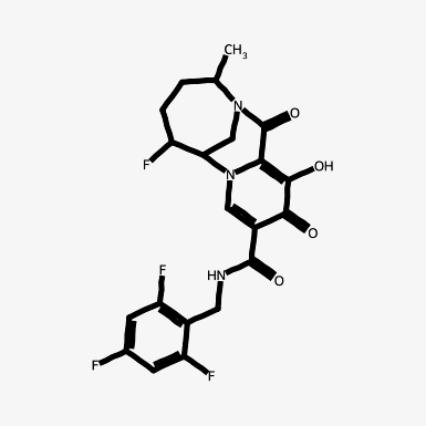 CC1CCC(F)C2CN1C(=O)c1c(O)c(=O)c(C(=O)NCc3c(F)cc(F)cc3F)cn12